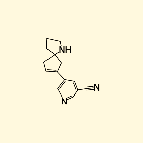 N#Cc1cncc(C2=CCC3(CCCN3)C2)c1